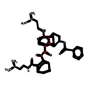 CN(C)CCNC(=O)C1C2CCC(C(OC(=O)c3ccccc3)C2)C1C(=O)NC(=O)C1C2CCC(CC2OC(=O)c2ccccc2)C1C(=O)NCCN(C)C